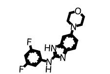 Fc1cc(F)cc(Nc2nc3ccc(N4CCOCC4)cc3[nH]2)c1